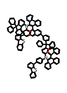 c1ccc(C2(c3cccc(-c4ccc5c(-c6c(N(c7cccc(-c8cccc9c8sc8ccccc89)c7)c7cccc8c7-c7ccccc7C8(c7ccccc7)c7ccccc7)c7ccccc7c7ccccc67)cccc5c4)c3)c3ccccc3-c3cc(N(c4ccc(-c5cccc6c5sc5ccccc56)cc4)c4c(-c5cccc6ccccc56)c5ccccc5c5ccccc45)ccc32)cc1